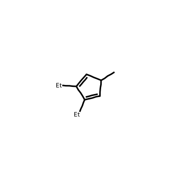 CCC1=CC(C)C=C1CC